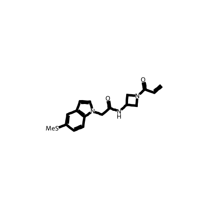 C=CC(=O)N1CC(NC(=O)Cn2ccc3cc(SC)ccc32)C1